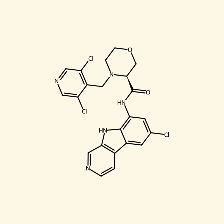 O=C(Nc1cc(Cl)cc2c1[nH]c1cnccc12)[C@@H]1COCCN1Cc1c(Cl)cncc1Cl